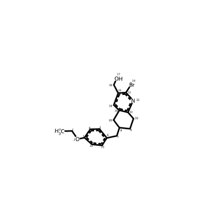 CCOc1ccc(CC2CCc3nc(Br)c(CO)cc3C2)cc1